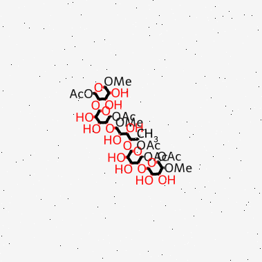 COC(OC1C(O)C(O)[C@H](OC2C(OC(C)=O)OC(OC)C(O)C2O)O[C@H]1OC(C)=O)C(O)C(O)C(O[C@@H]1O[C@@H](OC(C)=O)C(OC2OC(OC(C)=O)C(OC)C(O)C2O)C(O)C1O)C(C)OC(C)=O